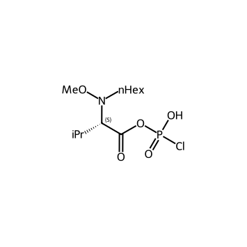 CCCCCCN(OC)[C@H](C(=O)OP(=O)(O)Cl)C(C)C